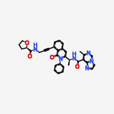 Cc1ncn2ccnc2c1C(=O)N[C@@H](C)c1cc2cccc(C#CCNC(=O)[C@H]3CCCO3)c2c(=O)n1-c1ccccc1